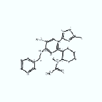 COc1cc(-c2noc(C)n2)c(C2CCCCC2N(C)C(=O)C=O)cc1OCc1ccccc1